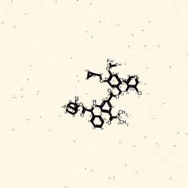 CN(C)C(=O)c1cc(NC(C(=O)O[C@H]2CN3CCC2CC3)c2ccccc2)cc(C(=O)O[C@@H](Cc2c(Cl)cncc2Cl)c2ccc(OC(F)F)c(OCC3CC3)c2)c1